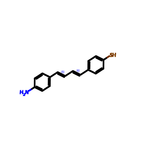 Nc1ccc(/C=C/C=C/c2ccc(S)cc2)cc1